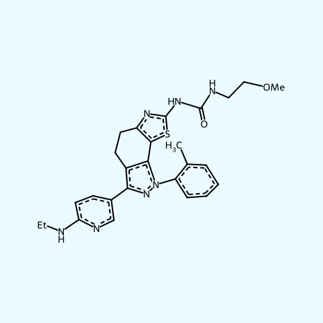 CCNc1ccc(-c2nn(-c3ccccc3C)c3c2CCc2nc(NC(=O)NCCOC)sc2-3)cn1